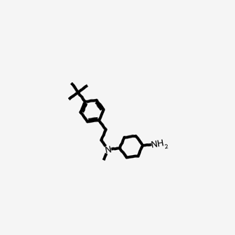 CN(CCc1ccc(C(C)(C)C)cc1)C1CCC(N)CC1